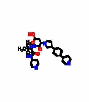 CC(C)(C)[C@H](NC(=O)[C@@H](CC(=O)O)n1ccc(-c2ccc(-c3ccncc3)cc2)c1)C(=O)Nc1ccncc1